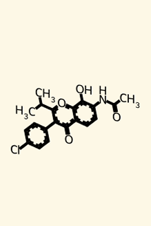 CC(=O)Nc1ccc2c(=O)c(-c3ccc(Cl)cc3)c(C(C)C)oc2c1O